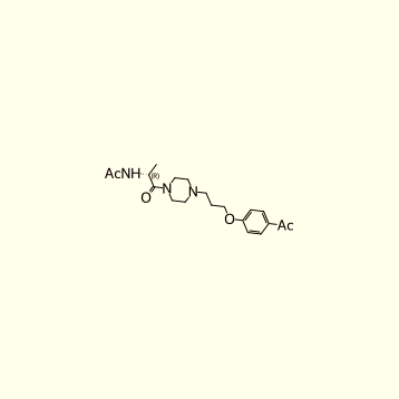 CC(=O)N[C@H](C)C(=O)N1CCN(CCCOc2ccc(C(C)=O)cc2)CC1